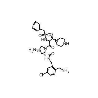 NCc1ccc(Cl)cc1CNC(=O)[C@@H]1C[C@H](N)CN1C(=O)C(NS(=O)(=O)Cc1ccccc1)C(=O)N1CCNCC1